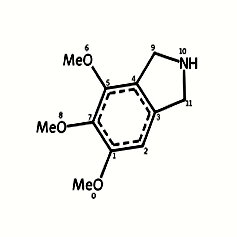 COc1cc2c(c(OC)c1OC)CNC2